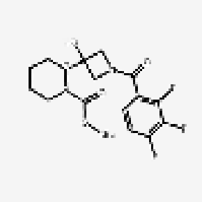 CC(C)(C)OC(=O)N1CCCC[C@H]1C1(O)CN(C(=O)c2ccc(F)c(F)c2F)C1